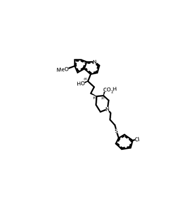 COc1ccc2nccc([C@H](O)CC[C@@H]3CCN(CCCSc4cccc(Cl)c4)C[C@@H]3C(=O)O)c2c1